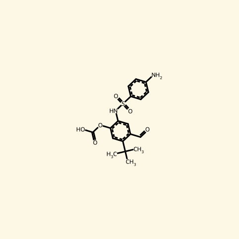 CC(C)(C)c1cc(OC(=O)O)c(NS(=O)(=O)c2ccc(N)cc2)cc1C=O